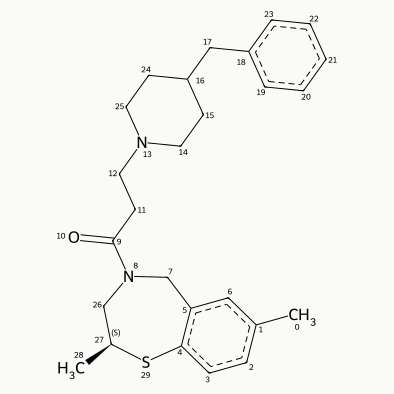 Cc1ccc2c(c1)CN(C(=O)CCN1CCC(Cc3ccccc3)CC1)C[C@H](C)S2